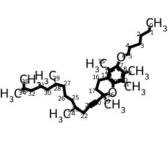 CCCCCCOc1c(C)c(C)c2c(c1C)CC[C@@](C)(C#CC[C@@H](C)CCC[C@@H](C)CCCC(C)C)O2